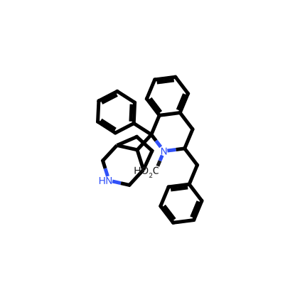 O=C(O)N1C(Cc2ccccc2)Cc2ccccc2C1(c1ccccc1)C1C2CCC1CNC2